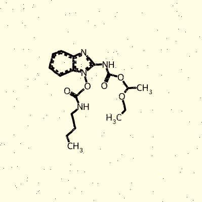 CCCCNC(=O)On1c(NC(=O)OC(C)OCC)nc2ccccc21